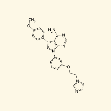 COc1ccc(-c2cn(-c3cccc(OCCn4ccnc4)c3)c3ncnc(N)c23)cc1